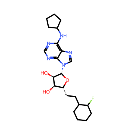 O[C@@H]1[C@H](O)[C@@H](CCC2CCCCC2F)O[C@H]1n1cnc2c(NC3CCCC3)ncnc21